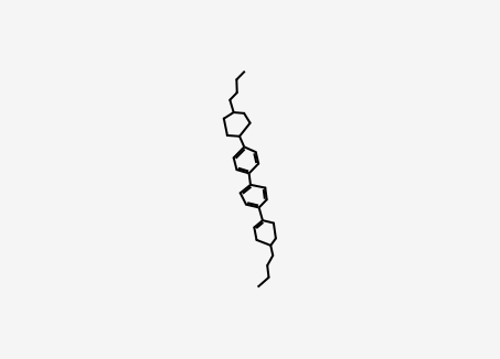 CCCCC1CC=C(c2ccc(-c3ccc(C4CCC(CCCC)CC4)cc3)cc2)CC1